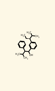 CC[C@H](c1cccc(C(O)C(c2ccccc2)C(C)C)c1)C(C)C